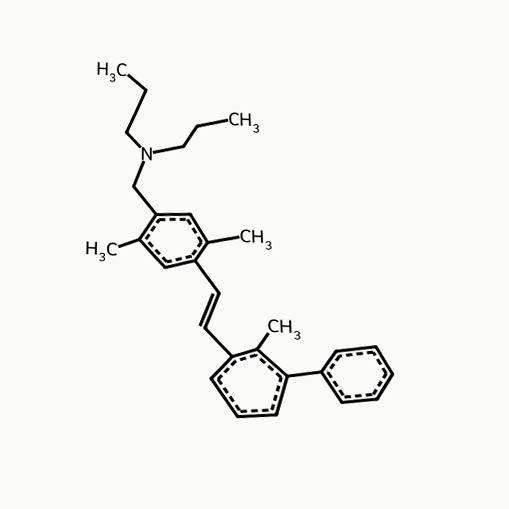 CCCN(CCC)Cc1cc(C)c(/C=C/c2cccc(-c3ccccc3)c2C)cc1C